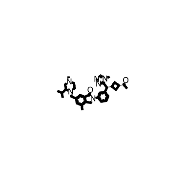 Cc1cc(CN2CCN(C)CC2C(C)C)cc2c1CN(c1cccc(C(c3nncn3C)[C@H]3C[C@@H](C(C)=O)C3)c1)C2=O